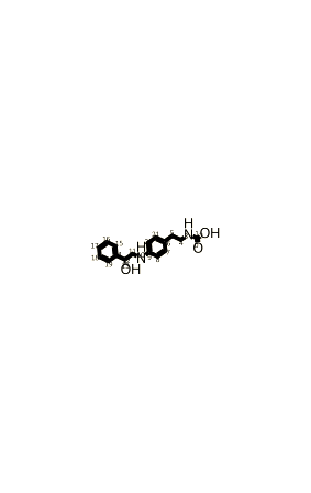 O=C(O)NCCc1ccc(NC[C@H](O)c2ccccc2)cc1